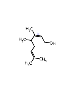 CC(C)=CCC(C)/C(C)=C\CO